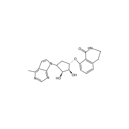 Cc1ncnc2c1ccn2C1C[C@H](Oc2cccc3c2C(=O)NCC3)[C@@H](O)[C@H]1O